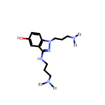 CCN(CC)CCCNc1nn(CCCN(CC)CC)c2ccc(O)cc12